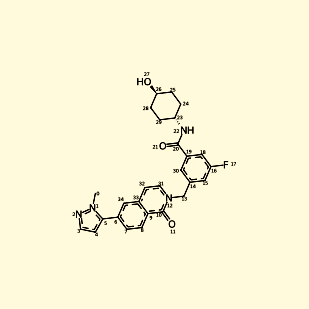 Cn1nccc1-c1ccc2c(=O)n(Cc3cc(F)cc(C(=O)N[C@H]4CC[C@H](O)CC4)c3)ccc2c1